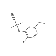 CCc1ccc(F)c(OC(C)(C)C#N)c1